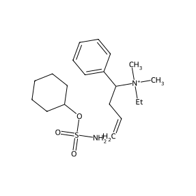 C=CCC(c1ccccc1)[N+](C)(C)CC.NS(=O)(=O)OC1CCCCC1